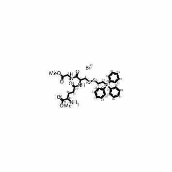 COC(=O)CNC(=O)C(CSSCC[P+](c1ccccc1)(c1ccccc1)c1ccccc1)NC(=O)CCC(N)C(=O)OC.[Br-]